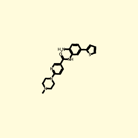 CN1CCN(c2ccc(C(=O)Nc3cc(-c4cccs4)ccc3N)cn2)CC1